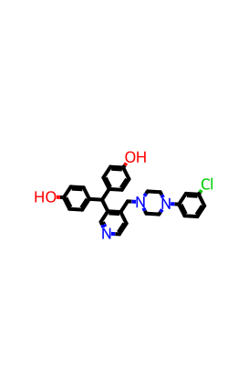 Oc1ccc(C(c2ccc(O)cc2)c2cnccc2CN2CCN(c3cccc(Cl)c3)CC2)cc1